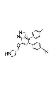 Cc1ccc(-c2c(-c3ccc(C#N)cc3)cc(OC[C@@H]3CCNC3)c3nncn23)cc1